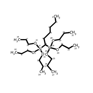 CCCCCC([Si](OCCC)(OCCC)OCCC)[Si](OCCC)(OCCC)OCCC